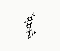 CN/C=C(\C(C)=N)C(=O)Nc1ccc(Nc2ccc(NC)cc2)c(Cl)c1